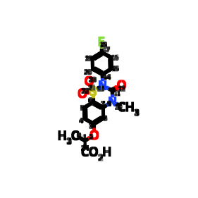 C[C@@H](Oc1ccc2c(c1)N(C)C(=O)N(c1ccc(F)cc1)S2(=O)=O)C(=O)O